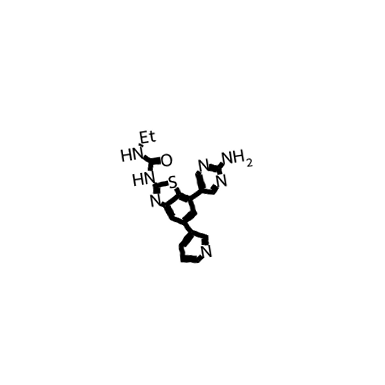 CCNC(=O)Nc1nc2cc(-c3cccnc3)cc(-c3cnc(N)nc3)c2s1